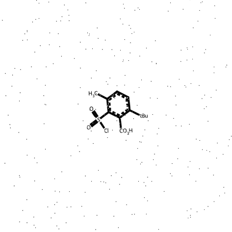 Cc1ccc(C(C)(C)C)c(C(=O)O)c1S(=O)(=O)Cl